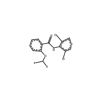 O=C(Nc1c(Cl)cncc1Cl)c1ccccc1OC(F)F